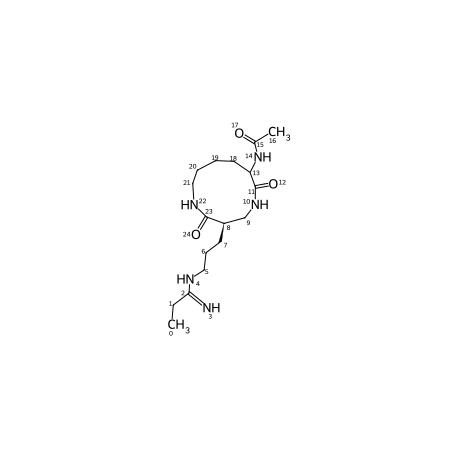 CCC(=N)NCCC[C@@H]1CNC(=O)C(NC(C)=O)CCCCNC1=O